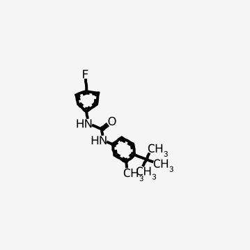 Cc1cc(NC(=O)Nc2ccc(F)cc2)ccc1C(C)(C)C